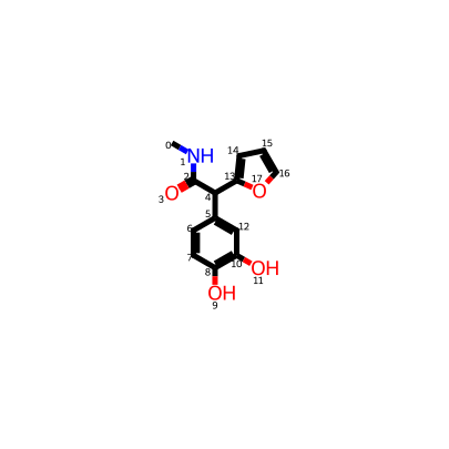 CNC(=O)C(c1ccc(O)c(O)c1)c1ccco1